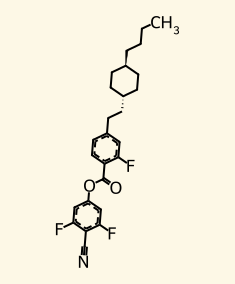 CCCC[C@H]1CC[C@H](CCc2ccc(C(=O)Oc3cc(F)c(C#N)c(F)c3)c(F)c2)CC1